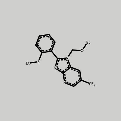 CCOCn1c(-c2ccccc2SCC)nc2ncc(C(F)(F)F)cc21